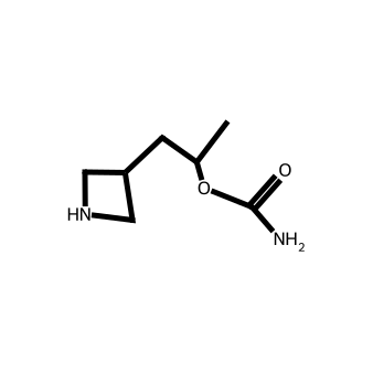 CC(CC1CNC1)OC(N)=O